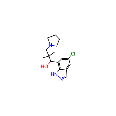 CC(C)(CN1CCCC1)C(O)c1cc(Cl)cc2cn[nH]c12